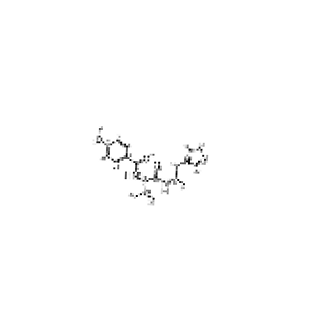 COc1ccc(C(=O)NC(C(=O)NC(C)Cn2ccnc2)C(C)C)cc1